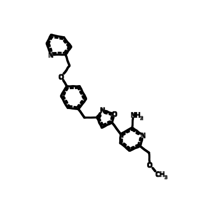 COCc1ccc(-c2cc(Cc3ccc(OCc4ccccn4)cc3)no2)c(N)n1